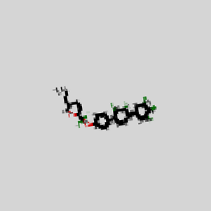 CCCC1CCC(C(F)(F)Oc2ccc(-c3ccc(-c4cc(F)c(F)c(F)c4)c(F)c3F)cc2)OC1